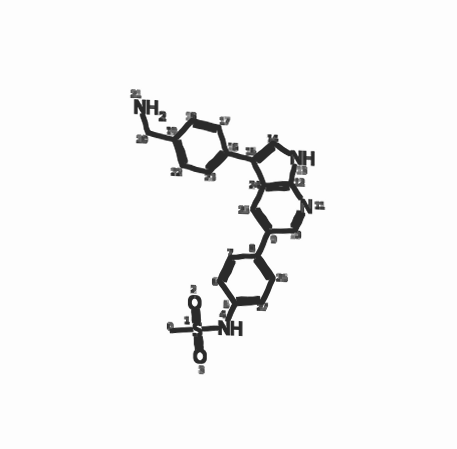 CS(=O)(=O)Nc1ccc(-c2cnc3[nH]cc(-c4ccc(CN)cc4)c3c2)cc1